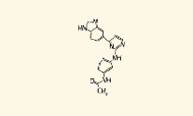 CC(=O)Nc1cccc(Nc2nccc(-c3ccc4[nH]cnc4c3)n2)c1